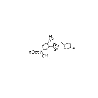 CCCCCCCCN(C)c1ccc(N)c(-c2nc(Cc3ccc(F)cc3)cs2)c1